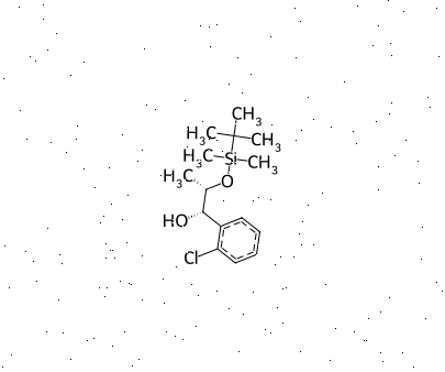 C[C@H](O[Si](C)(C)C(C)(C)C)[C@@H](O)c1ccccc1Cl